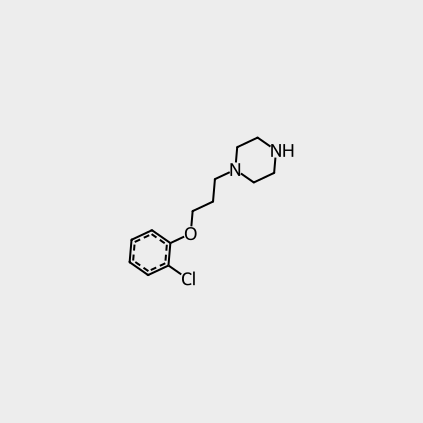 Clc1ccccc1OCCCN1CCNCC1